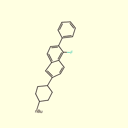 CCCCC1CCC(c2ccc3c(F)c(-c4ccccc4)ccc3c2)CC1